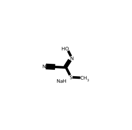 CSC(C#N)=NO.[NaH]